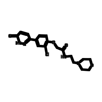 O=C(COc1ccc(-c2ccc(=O)[nH]n2)cc1Cl)NCCN1CCOCC1